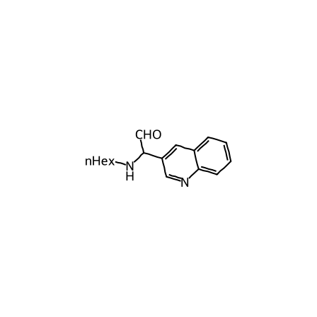 CCCCCCNC(C=O)c1cnc2ccccc2c1